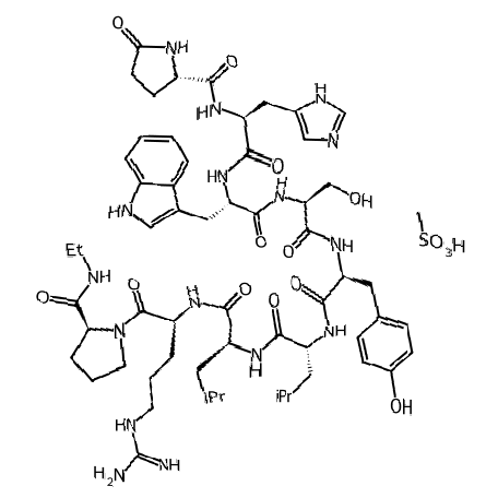 CCNC(=O)[C@@H]1CCCN1C(=O)[C@H](CCCNC(=N)N)NC(=O)[C@H](CC(C)C)NC(=O)[C@@H](CC(C)C)NC(=O)[C@H](Cc1ccc(O)cc1)NC(=O)[C@H](CO)NC(=O)[C@H](Cc1c[nH]c2ccccc12)NC(=O)[C@H](Cc1cnc[nH]1)NC(=O)[C@@H]1CCC(=O)N1.CS(=O)(=O)O